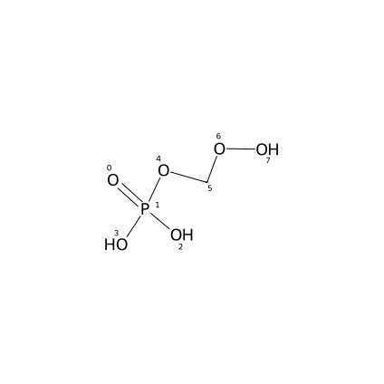 O=P(O)(O)OCOO